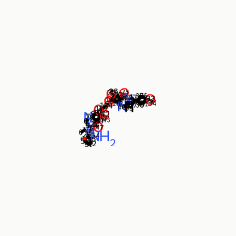 CC/C(=C\N1CC=Nc2cc(OCCCOc3cc4c(cc3OC)C(=O)N3C=C(c5ccc(OC)cc5)C[C@H]3C=N4)c(OC)cc2C1=O)c1ccccc1N